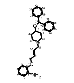 Nc1ccccc1OCC=CCN1CCC(OC(c2ccccc2)c2ccccc2)CC1